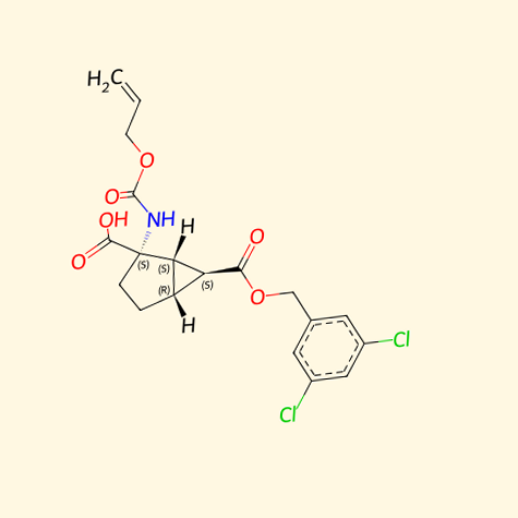 C=CCOC(=O)N[C@@]1(C(=O)O)CC[C@H]2[C@H](C(=O)OCc3cc(Cl)cc(Cl)c3)[C@H]21